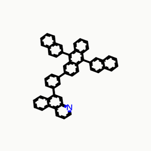 c1cc(-c2ccc3c(-c4ccc5ccccc5c4)c4ccccc4c(-c4ccc5ccccc5c4)c3c2)cc(-c2cc3ncccc3c3ccccc23)c1